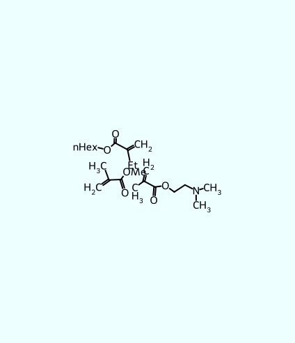 C=C(C)C(=O)OC.C=C(C)C(=O)OCCN(C)C.C=C(CC)C(=O)OCCCCCC